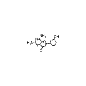 Nc1nc(N)c2oc(-c3cccc(O)c3)cc(=O)c2n1